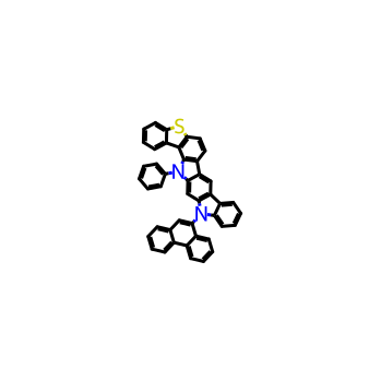 c1ccc(-n2c3cc4c(cc3c3ccc5sc6ccccc6c5c32)c2ccccc2n4-c2cc3ccccc3c3ccccc23)cc1